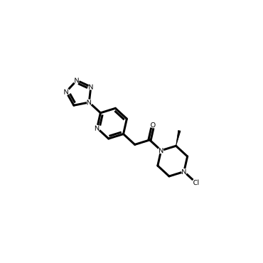 C[C@H]1CN(Cl)CCN1C(=O)Cc1ccc(-n2cnnn2)nc1